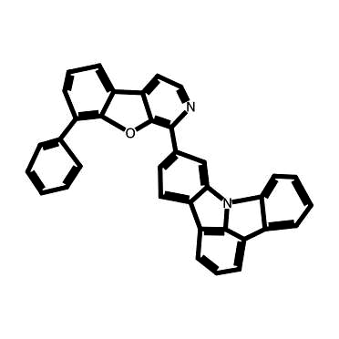 c1ccc(-c2cccc3c2oc2c(-c4ccc5c6cccc7c8ccccc8n(c5c4)c76)nccc23)cc1